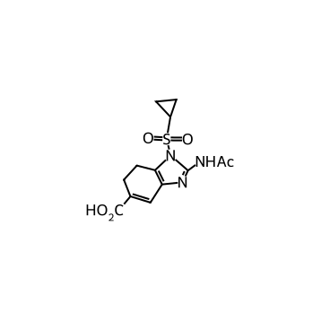 CC(=O)Nc1nc2c(n1S(=O)(=O)C1CC1)CCC(C(=O)O)=C2